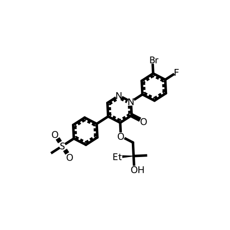 CC[C@@](C)(O)COc1c(-c2ccc(S(C)(=O)=O)cc2)cnn(-c2ccc(F)c(Br)c2)c1=O